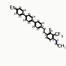 C/C=C/c1ccc(CCc2ccc(-c3ccc(-c4ccc(CC)cc4)cc3)cc2)c(F)c1C(F)(F)F